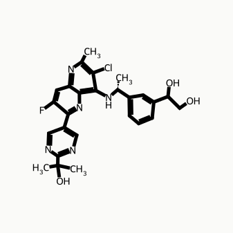 Cc1nc2cc(F)c(-c3cnc(C(C)(C)O)nc3)nc2c(N[C@H](C)c2cccc(C(O)CO)c2)c1Cl